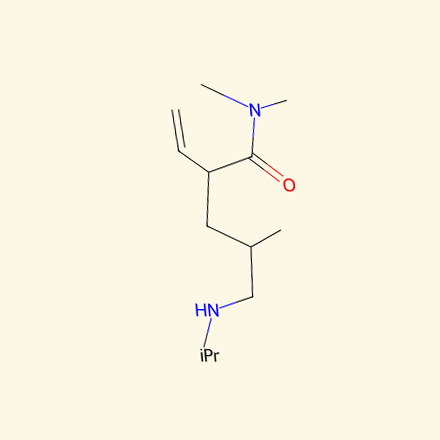 C=CC(CC(C)CNC(C)C)C(=O)N(C)C